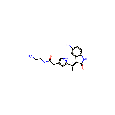 C/C(=C1\C(=O)Nc2ccc(N)cc21)c1cc(CC(=O)NCCN)c[nH]1